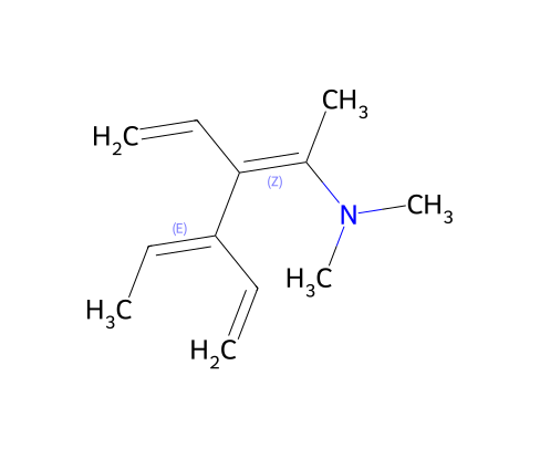 C=CC(=C(\C)N(C)C)/C(C=C)=C/C